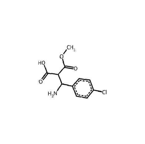 COC(=O)C(C(=O)O)C(N)c1ccc(Cl)cc1